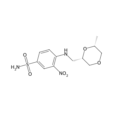 C[C@@H]1COC[C@H](CNc2ccc(S(N)(=O)=O)cc2[N+](=O)[O-])O1